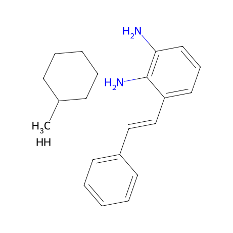 CC1CCCCC1.Nc1cccc(C=Cc2ccccc2)c1N.[HH]